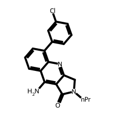 CCCN1Cc2nc3c(-c4cccc(Cl)c4)cccc3c(N)c2C1=O